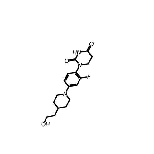 O=C1CCN(c2ccc(N3CCC(CCO)CC3)cc2F)C(=O)N1